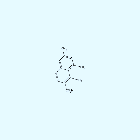 Cc1cc(C)c2c(N)c(C(=O)O)cnc2c1